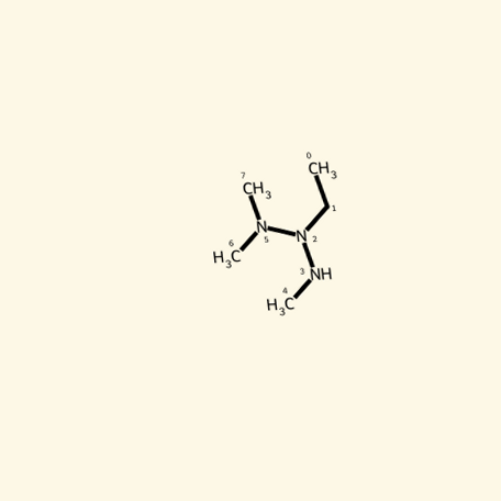 CCN(NC)N(C)C